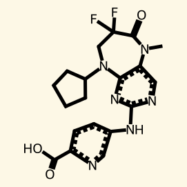 CN1C(=O)C(F)(F)CN(C2CCCC2)c2nc(Nc3ccc(C(=O)O)nc3)ncc21